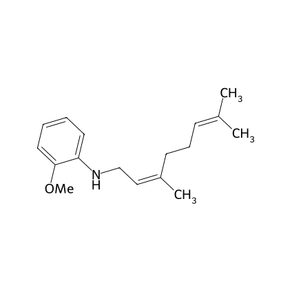 COc1ccccc1NCC=C(C)CCC=C(C)C